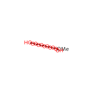 COC(O)COCCOCCOCCOCCOCCOCCOCCOCCOCCO